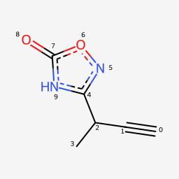 C#CC(C)c1noc(=O)[nH]1